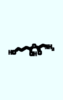 NCC(=O)OC(O)CCCO